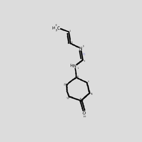 CC=C/N=C\NC1CCC(=O)CC1